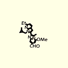 CCc1ccc2cc(-c3nc4cc(C=O)cc(OC)n4c3C)n(CC3CC3C)c2n1